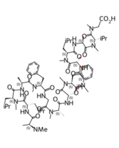 CN[C@@H](C)C(=O)N[C@@H](CC(C)C)C(=O)N(C)[C@@H](CC(C)C)C(=O)N[C@@H](C)C(=O)N(C)[C@@H](Cc1ccccc1)C(=O)NCC(=O)N(C)[C@@H](C)C(=O)N[C@@H](CC(C)C)C(=O)N(C)[C@@H](Cc1ccccc1)C(=O)N(C)[C@@H](C)C(=O)N[C@@H](C)C(=O)N(C)[C@@H](CC(C)C)C(=O)N[C@@H](C)C(=O)N(C)[C@H](C(=O)N(C)CC(=O)O)C(C)C